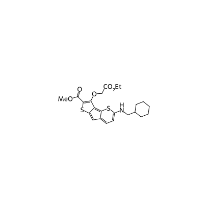 CCOC(=O)COc1c(C(=O)OC)sc2cc3ccc(NCC4CCCCC4)sc-3c12